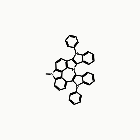 Cn1c2cccc3c2c2c1ccc1c4c(c5ccccc5n4-c4ccccc4)n(c12)c1c2ccccc2n(-c2ccccc2)c31